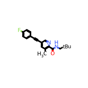 Cc1cc(C#Cc2ccc(F)cc2)cnc1C(=O)NCC(C)(C)C